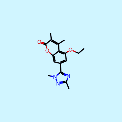 CCOc1cc(-c2nc(C)nn2C)cc2oc(=O)c(C)c(C)c12